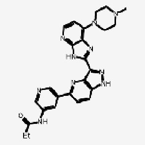 CCC(=O)Nc1cncc(-c2ccc3[nH]nc(-c4nc5c(N6CCN(C)CC6)ccnc5[nH]4)c3n2)c1